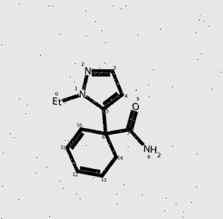 CCn1nccc1C1(C(N)=O)C=CC=CC1